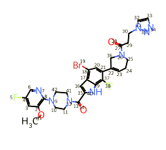 COc1cc(F)cnc1N1CCN(C(=O)c2cc3c(Br)cc(C4=CCCN(C(=O)CCn5ccnn5)C4)c(F)c3[nH]2)CC1